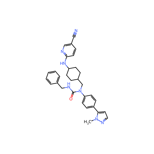 Cn1nccc1-c1ccc(N(CC2CCC(Nc3ccc(C#N)cn3)CC2)C(=O)NCc2ccccc2)cc1